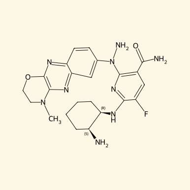 CN1CCOc2nc3ccc(N(N)c4nc(N[C@@H]5CCCC[C@@H]5N)c(F)cc4C(N)=O)cc3nc21